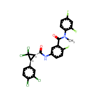 CN(C(=O)c1cc(NC(=O)[C@@H]2[C@@H](c3ccc(Cl)c(Cl)c3)C2(Cl)Cl)ccc1F)c1ccc(F)cc1F